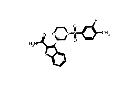 Cc1ccc(S(=O)(=O)N2CCO[C@@H](c3c(C(N)=O)sc4ccccc34)C2)cc1F